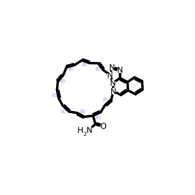 NC(=O)C1=C/C=C/N2C=c3ccccc3=C3N=NN(\C=C\C=C\C=C\C=C\C=C/C=C\C=C\1)N32